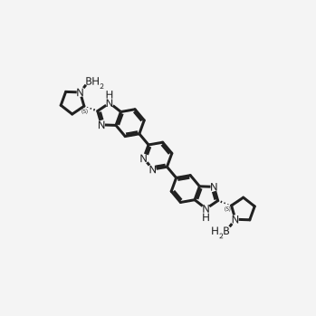 BN1CCC[C@H]1c1nc2cc(-c3ccc(-c4ccc5[nH]c([C@@H]6CCCN6B)nc5c4)nn3)ccc2[nH]1